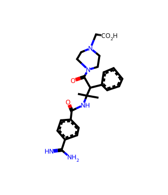 CC(C)(NC(=O)c1ccc(C(=N)N)cc1)C(C(=O)N1CCN(CC(=O)O)CC1)c1ccccc1